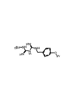 CCCCNC(=N)NC(=N)NCc1ccc(OC(C)C)cc1